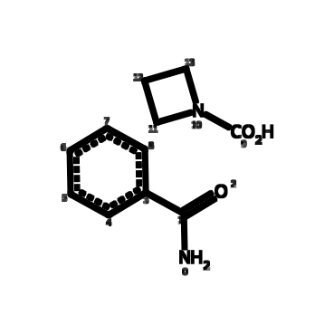 NC(=O)c1ccccc1.O=C(O)N1CCC1